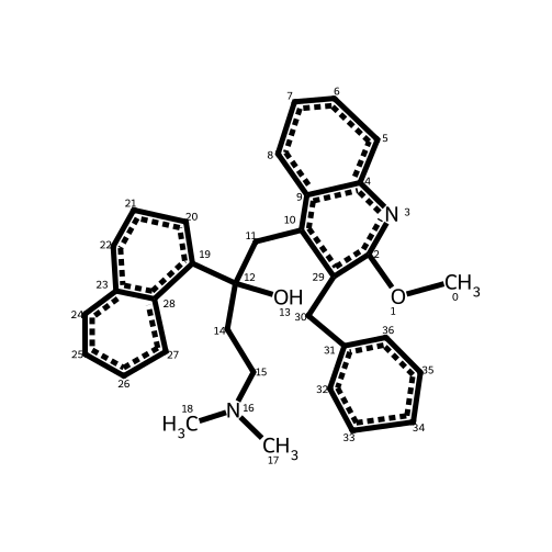 COc1nc2ccccc2c(CC(O)(CCN(C)C)c2cccc3ccccc23)c1Cc1ccccc1